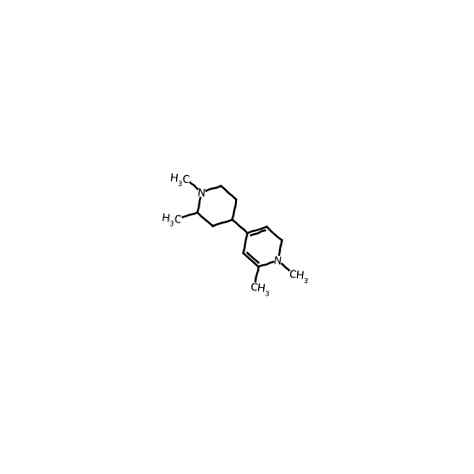 CC1=CC(C2CCN(C)C(C)C2)=CCN1C